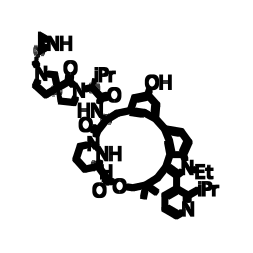 CCn1c(-c2cccnc2C(C)C)c2c3cc(ccc31)-c1cc(O)cc(c1)C[C@H](NC(=O)[C@H](C(C)C)N1CC[C@]3(CCN(C[C@@H]4CN4)C3)C1=O)C(=O)N1CCC[C@H](N1)C(=O)OCC(C)(C)C2